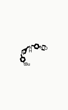 CC(C)(C)c1ccc(CN2CC3C(CNCc4ccc(N5CCOCC5)cc4)C3C2)cc1